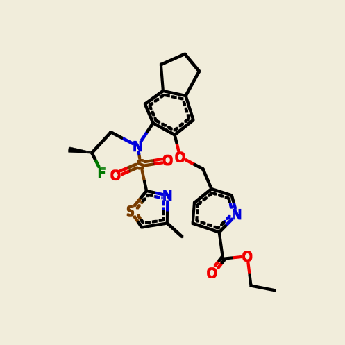 CCOC(=O)c1ccc(COc2cc3c(cc2N(C[C@H](C)F)S(=O)(=O)c2nc(C)cs2)CCC3)cn1